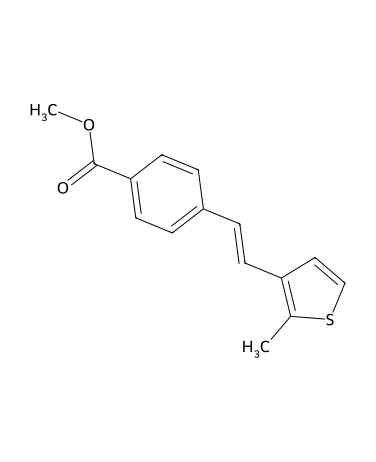 COC(=O)c1ccc(C=Cc2ccsc2C)cc1